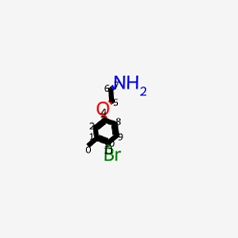 Cc1cc(OCCN)ccc1Br